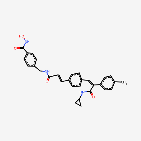 Cc1ccc(C(=Cc2ccc(C=CC(=O)NCc3ccc(C(=O)NO)cc3)cc2)C(=O)NC2CC2)cc1